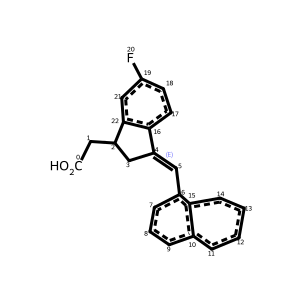 O=C(O)CC1C/C(=C\c2cccc3ccccc23)c2ccc(F)cc21